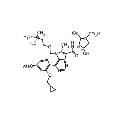 COc1ccc(-c2ncnc3c(C(=O)N[C@@H]4C(C(C)(C)C)N(C(=O)O)C[C@H]4O)c(C)n(COCC[Si](C)(C)C)c23)c(OCC2CC2)c1